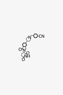 N#Cc1ccc(CN2CCC(c3ccc4c(c3)CN(C3CCC(=O)NC3=O)C4=O)CC2)cc1